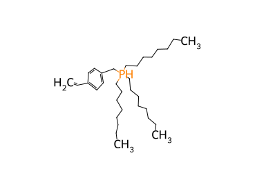 C=Cc1ccc(C[PH](CCCCCCCC)(CCCCCCCC)CCCCCCCC)cc1